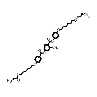 C=CCOOCCCCCCOc1ccc(OC(=O)c2ccc(OC(=O)c3ccc(OCCCCCCOC(=O)C=C)cc3)cc2C)cc1